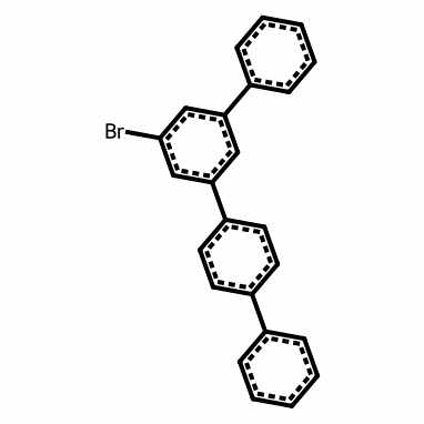 Brc1cc(-c2ccccc2)cc(-c2ccc(-c3ccccc3)cc2)c1